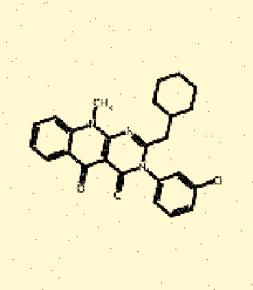 Cn1c2ccccc2c(=O)c2c(=O)n(-c3cccc(Cl)c3)c(CC3CCCCC3)nc21